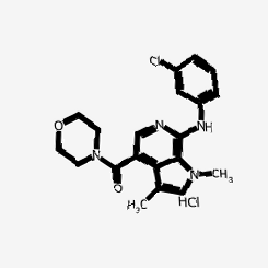 Cc1cn(C)c2c(Nc3cccc(Cl)c3)ncc(C(=O)N3CCOCC3)c12.Cl